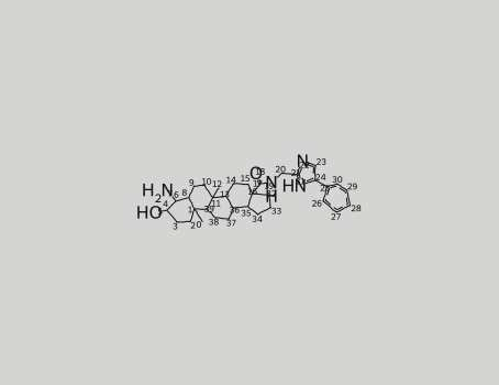 CC12CCC(O)C(N)C1CCC1(C)C3CCC4(C(=O)NCc5ncc(-c6ccccc6)[nH]5)CCCC4C3CCC21